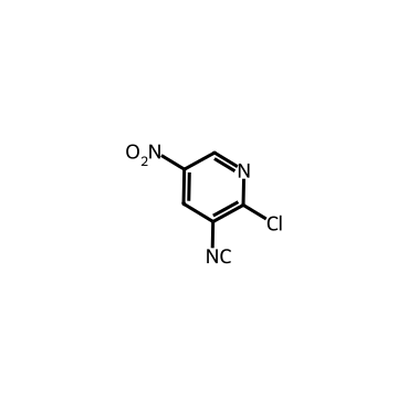 [C-]#[N+]c1cc([N+](=O)[O-])cnc1Cl